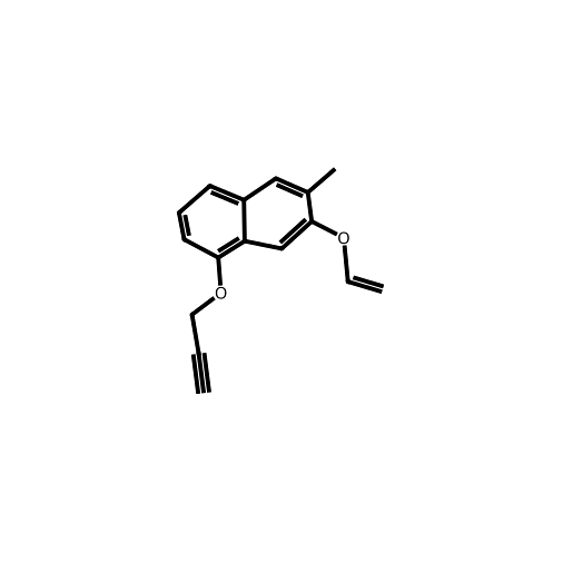 C#CCOc1cccc2cc(C)c(OC=C)cc12